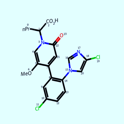 CCCC(C(=O)O)n1cc(OC)c(-c2cc(Cl)ccc2-n2cnc(Cl)c2)cc1=O